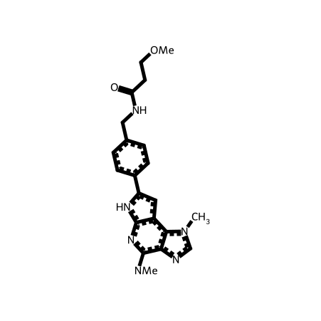 CNc1nc2[nH]c(-c3ccc(CNC(=O)CCOC)cc3)cc2c2c1ncn2C